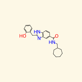 O=C(NCC1CCCCCC1)c1ccc2[nH]c(Cc3ccccc3O)nc2c1